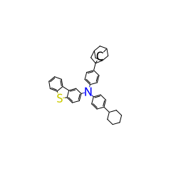 c1ccc2c(c1)sc1ccc(N(c3ccc(C4CCCCC4)cc3)c3ccc(C45CC6CC(CC4C6)C5)cc3)cc12